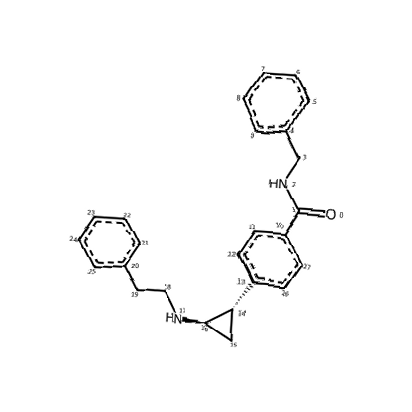 O=C(NCc1ccccc1)c1ccc([C@@H]2C[C@H]2NCCc2ccccc2)cc1